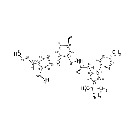 Cc1ccc(-n2nc(C(C)(C)C)cc2NC(=O)NCc2cc(F)ccc2Oc2ccc(NCCO)c(C=N)c2)cc1